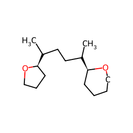 CC(CCC(C)[C@H]1CCCO1)[C@@H]1CCCCO1